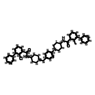 Cc1c(C(=O)NC2CCN(c3ccc(CN4CCC(NC(=O)c5cccc(-c6cccnc6)c5Cl)CC4)cn3)CC2)cccc1-c1cccnc1